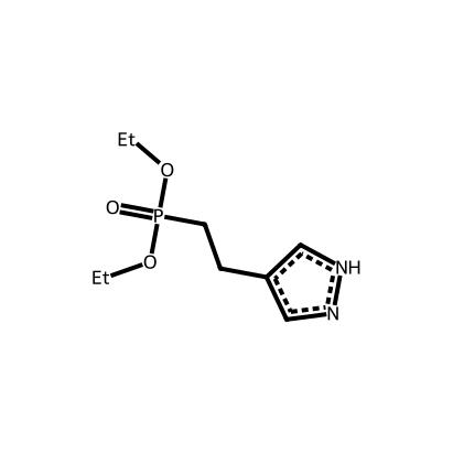 CCOP(=O)(CCc1cn[nH]c1)OCC